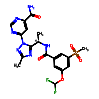 Cc1nc([C@H](C)NC(=O)c2cc(OC(F)F)cc(S(C)(=O)=O)c2)n(-c2cc(C(N)=O)ncn2)n1